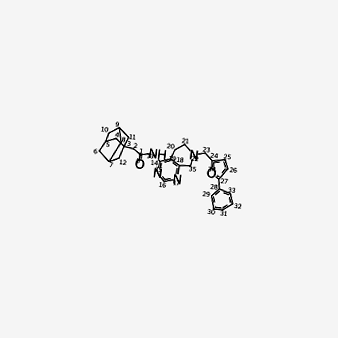 O=C(CC12CC3CC(CC(C3)C1)C2)Nc1ncnc2c1CCN(Cc1ccc(-c3ccccc3)o1)C2